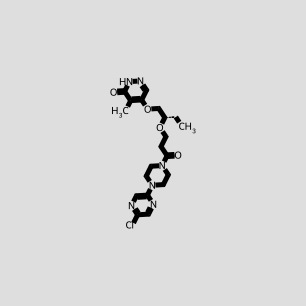 CC[C@@H](COc1cn[nH]c(=O)c1C)OCCC(=O)N1CCN(c2cnc(Cl)cn2)CC1